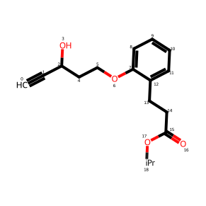 C#CC(O)CCOc1ccccc1CCC(=O)OC(C)C